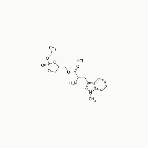 CCOP1(=O)OCC(COC(=O)C(N)Cc2cn(C)c3ccccc23)O1.Cl